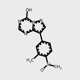 Cc1cc(-c2cnn3c(O)ncnc23)ccc1[S+](C)[O-]